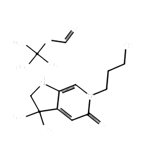 CC(C)(C)OC=O.CCCCn1cc2c(cc1=O)C(C)(C)CN2